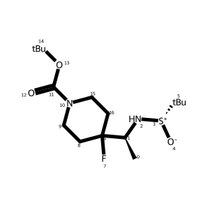 C[C@H](N[S@@+]([O-])C(C)(C)C)C1(F)CCN(C(=O)OC(C)(C)C)CC1